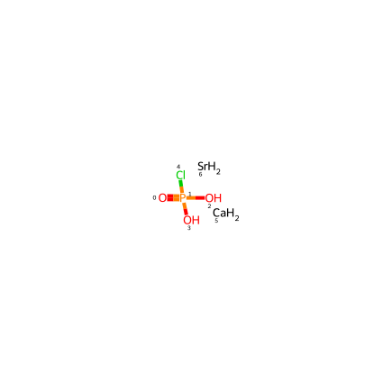 O=P(O)(O)Cl.[CaH2].[SrH2]